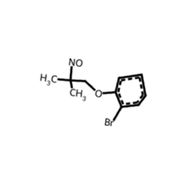 CC(C)(COc1ccccc1Br)N=O